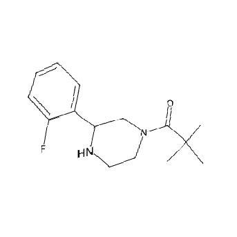 CC(C)(C)C(=O)N1CCNC(c2ccccc2F)C1